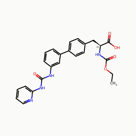 CCOC(=O)N[C@@H](Cc1ccc(-c2cccc(NC(=O)Nc3ccccn3)c2)cc1)C(=O)O